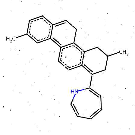 Cc1ccc2c(c1)=c1ccc3c(c1CC=2)CC(C)CC=3C1=CC=CC=CN1